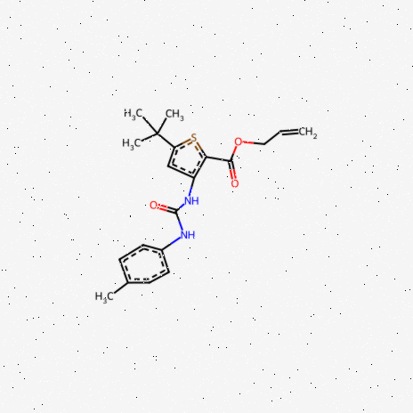 C=CCOC(=O)c1sc(C(C)(C)C)cc1NC(=O)Nc1ccc(C)cc1